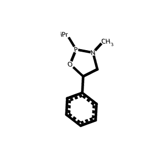 CC(C)P1OC(c2ccccc2)CN1C